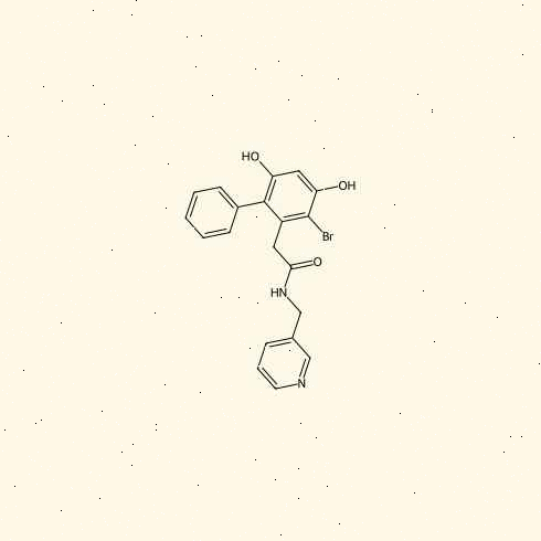 O=C(Cc1c(Br)c(O)cc(O)c1-c1ccccc1)NCc1cccnc1